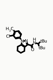 Cc1ccc(-n2nc(C(=O)NC(C(C)(C)C)C(C)(C)C)c3c2CCCC3)cc1Cl